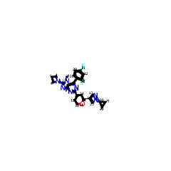 Cn1c(N2CCC2)nc2nc([C@H]3CCO[C@H](c4cnn(C5CC5)c4)C3)nc(-c3ccc(F)cc3F)c21